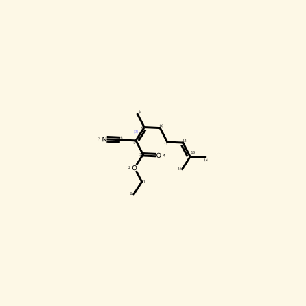 CCOC(=O)/C(C#N)=C(/C)CCC=C(C)C